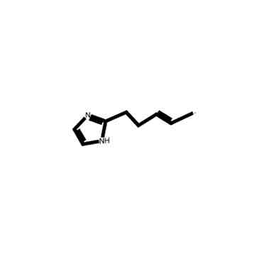 [CH2]/C=C/CCc1ncc[nH]1